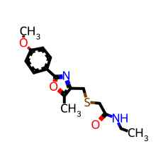 CCNC(=O)CSCc1nc(-c2ccc(OC)cc2)oc1C